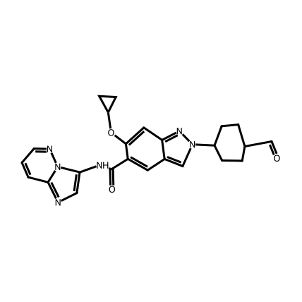 O=CC1CCC(n2cc3cc(C(=O)Nc4cnc5cccnn45)c(OC4CC4)cc3n2)CC1